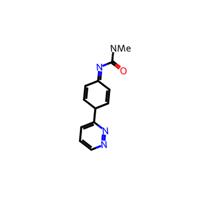 CNC(=O)N=C1C=CC(c2cccnn2)C=C1